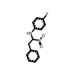 O=[N+]([O-])C(Cc1ccccc1)Nc1ccc(F)cc1